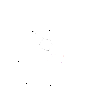 CC(=O)Oc1ccc(P(=O)(O)CP(=O)(O)O)cc1